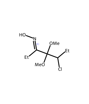 CC/C(=N\O)C(OC)(OC)C(Cl)CC